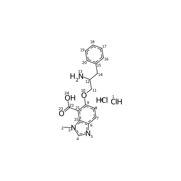 Cl.Cl.Cn1cnc2ccc(OCC(N)Cc3ccccc3)c(C(=O)O)c21